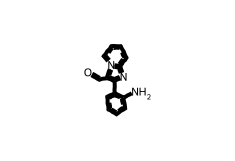 Nc1ccccc1-c1nc2ccccn2c1C=O